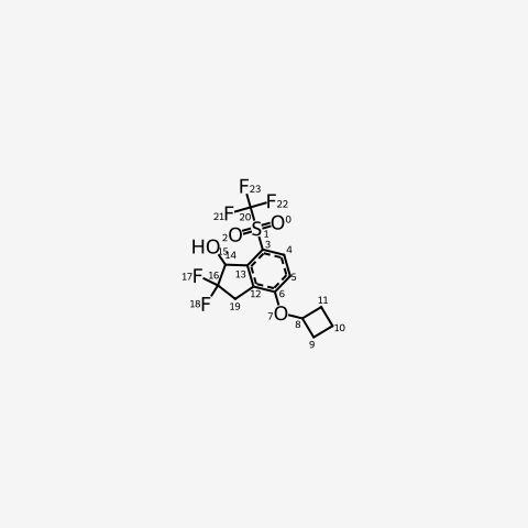 O=S(=O)(c1ccc(OC2CCC2)c2c1C(O)C(F)(F)C2)C(F)(F)F